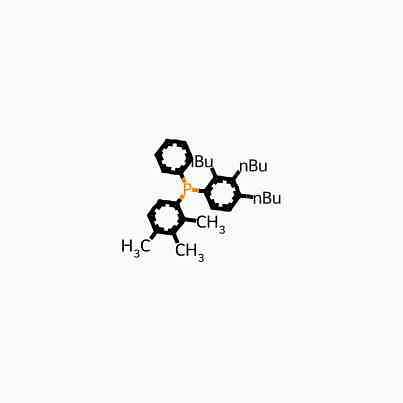 CCCCc1ccc(P(c2ccccc2)c2ccc(C)c(C)c2C)c(CCCC)c1CCCC